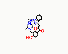 C[C@H]1CN(C(=O)O)CCN1Cc1c(O)ccc2c1O/C(=C\c1n[nH]c3ccccc13)C2=O